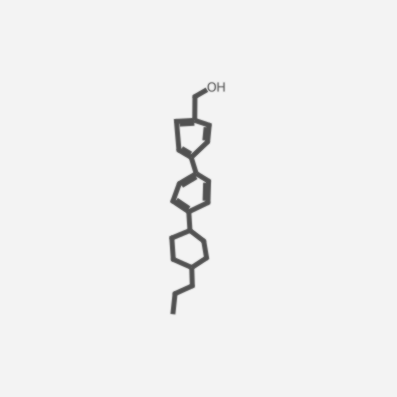 CCCC1CCC(c2ccc(-c3ccc(CO)cc3)cc2)CC1